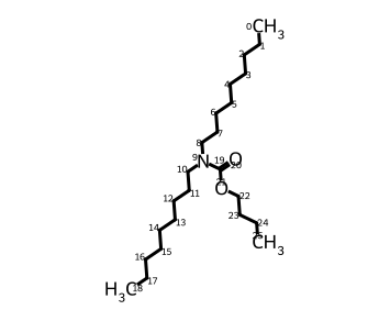 CCCCCCCCCN(CCCCCCCCC)C(=O)OCCCC